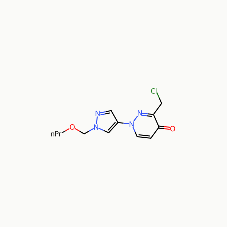 CCCOCn1cc(-n2ccc(=O)c(CCl)n2)cn1